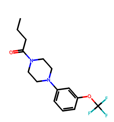 CCCC(=O)N1CCN(c2cccc(OC(F)(F)F)c2)CC1